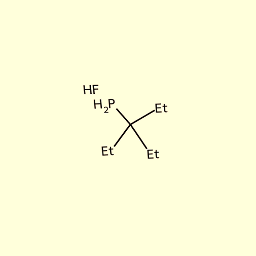 CCC(P)(CC)CC.F